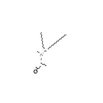 C=CCOP(=O)(OCCNC(=O)[C@@H](NC(=O)Cc1c[nH]c2ccccc12)[C@@H](C)CC)OC[C@H](NC(=O)CCCCCCCCCCC)C(=O)NCCC(O)CCCCCCCCCCCCC